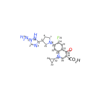 NN1C=NC(C2CCN(c3cc4c(cc3F)c(=O)c(C(=O)O)cn4C3CC3)C2)N1